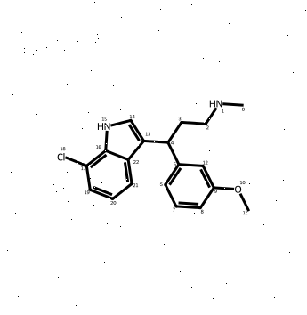 CNCCC(c1cccc(OC)c1)c1c[nH]c2c(Cl)cccc12